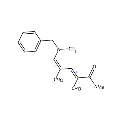 CNC(=O)/C(C=O)=C/C(C=O)=C\N(C)Cc1ccccc1